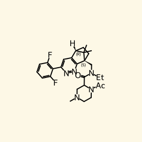 CCN(C[C@@]12CC[C@@H](c3cc(-c4c(F)cccc4F)nnc31)C2(C)C)C(=O)C1CN(C)CCN1C(C)=O